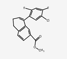 COC(=O)c1ccc2c(c1)C(c1cc(Cl)c(F)cc1F)=CCC2